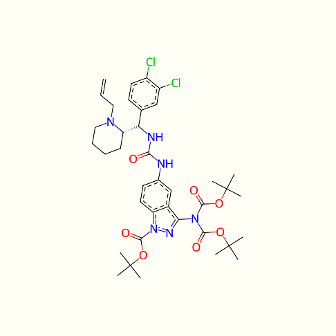 C=CCN1CCCC[C@H]1C(NC(=O)Nc1ccc2c(c1)c(N(C(=O)OC(C)(C)C)C(=O)OC(C)(C)C)nn2C(=O)OC(C)(C)C)c1ccc(Cl)c(Cl)c1